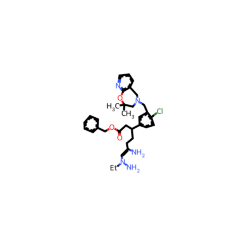 CCN(N)/C=C(\N)CCC(CC(=O)OCc1ccccc1)c1ccc(Cl)c(CN2Cc3cccnc3OC(C)(C)C2)c1